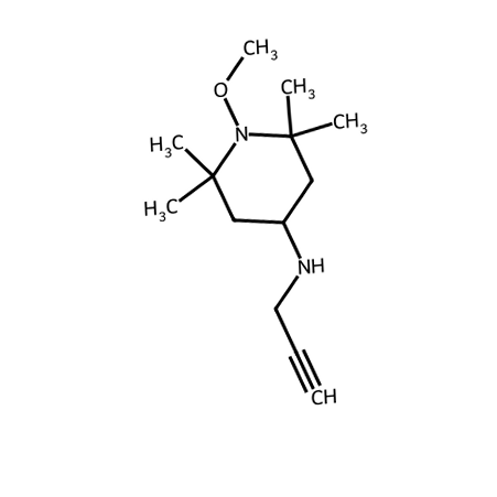 C#CCNC1CC(C)(C)N(OC)C(C)(C)C1